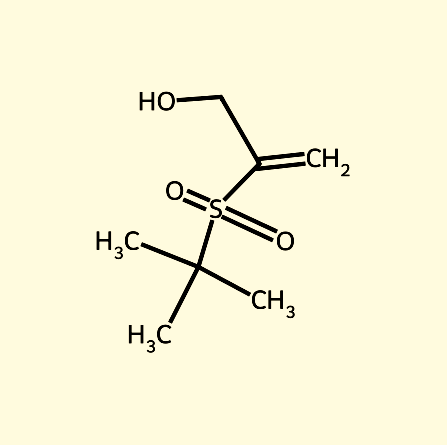 C=C(CO)S(=O)(=O)C(C)(C)C